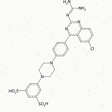 NC(N)=Nc1nc(-c2ccc(N3CCN(c4cc(S(=O)(=O)O)cc(S(=O)(=O)O)c4)CC3)cc2)c2cc(Cl)ccc2n1